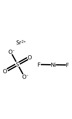 O=S(=O)([O-])[O-].[F][Ni][F].[Sr+2]